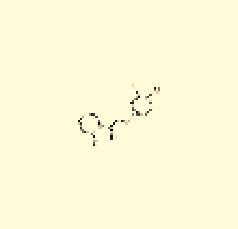 O=C1C=CCCN1C(=O)/C=C/c1ccc(Cl)c(F)c1